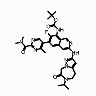 Cc1nc(C(=O)N(C)C)ncc1-c1cc2cc(Nc3cc4n(n3)CC(=O)N(C(C)C)CC4)ncc2c(NC(=O)OC(C)(C)C)c1F